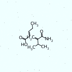 C=C(C(N)=O)C(C)C.CCC=CC(=O)O